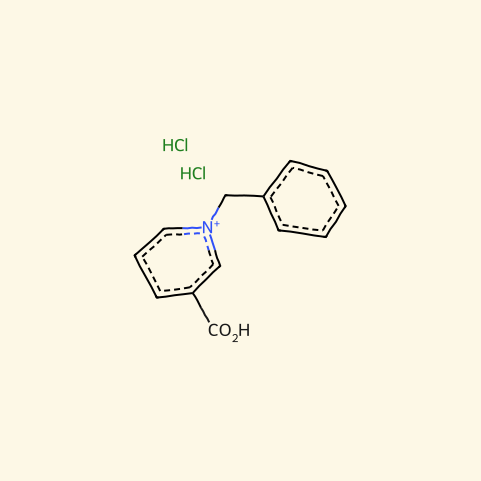 Cl.Cl.O=C(O)c1ccc[n+](Cc2ccccc2)c1